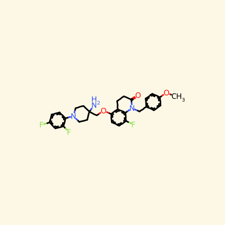 COc1ccc(CN2C(=O)CCc3c(OCC4(N)CCN(c5ccc(F)cc5F)CC4)ccc(F)c32)cc1